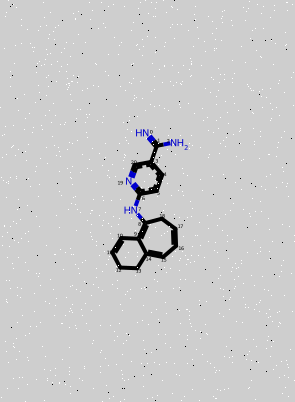 N=C(N)c1ccc(NC2=C3C=CCCC3=CC=CC2)nc1